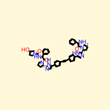 N[C@@H](C(=O)N1CCC[C@H]1c1ncc(-c2ccc(C#Cc3ccc(-c4cnc([C@@H]5CCCN5C(=O)[C@H](NC(=O)N5CC[C@@H](O)C5)c5ccccc5)[nH]4)cc3)cc2)[nH]1)c1ccccc1